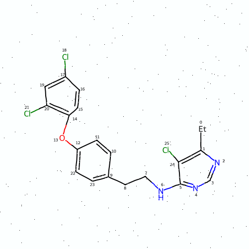 CCc1ncnc(NCCc2ccc(Oc3ccc(Cl)cc3Cl)cc2)c1Cl